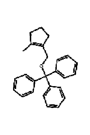 CC1=C(COC(c2ccccc2)(c2ccccc2)c2ccccc2)CCC1